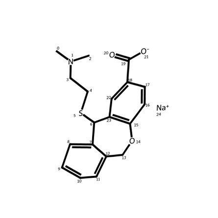 CN(C)CCSC1c2ccccc2COc2ccc(C(=O)[O-])cc21.[Na+]